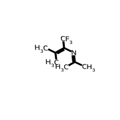 CC(C)=NC(=C(C)C)C(F)(F)F